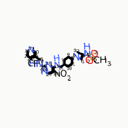 CS(=O)(=O)NC1CN(C2CCC(CNc3nc(NCc4cnccc4C(F)(F)F)ncc3[N+](=O)[O-])CC2)C1